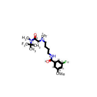 CCCN(CCCCNC(=O)c1cc(F)cc(OC)c1)CC(=O)N(C)C(C)(C)C(F)(F)F